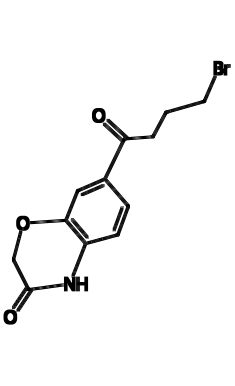 O=C1COc2cc(C(=O)CCCBr)ccc2N1